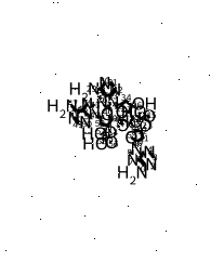 Nc1ncnc2c1ncn2[C@H]1C[C@H](OP(=O)(O)O)[C@@H](C(C[C@H]2O[C@@H](n3cnc4c(N)ncnc43)C[C@@H]2O)OC[C@H]2O[C@@H](n3cnc4c(N)ncnc43)C[C@@H]2OP(=O)(O)O)O1